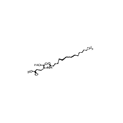 CCCCCCCCCCCCCCC(=O)N[C@@H](CCC(=O)O)C(=O)O